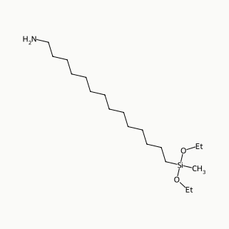 CCO[Si](C)(CCCCCCCCCCCCCCN)OCC